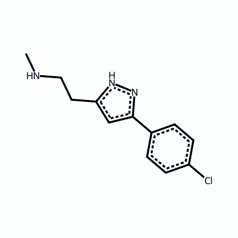 CNCCc1cc(-c2ccc(Cl)cc2)n[nH]1